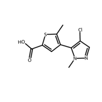 Cc1sc(C(=O)O)cc1-c1c(Cl)cnn1C